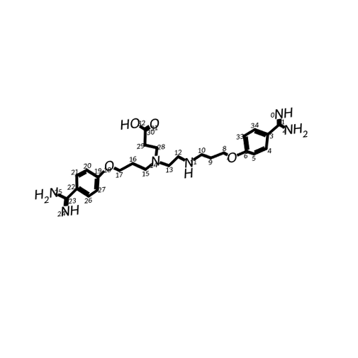 N=C(N)c1ccc(OCCCNCCN(CCCOc2ccc(C(=N)N)cc2)CCC(=O)O)cc1